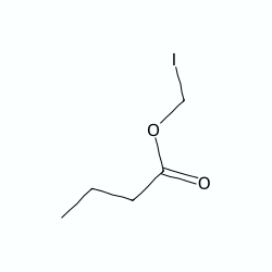 CCCC(=O)OCI